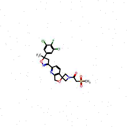 CS(=O)(=O)CC(=O)N1CC2(C1)OCc1nc(C3=NOC(c4cc(Cl)c(F)c(Cl)c4)(C(F)(F)F)C3)ccc12